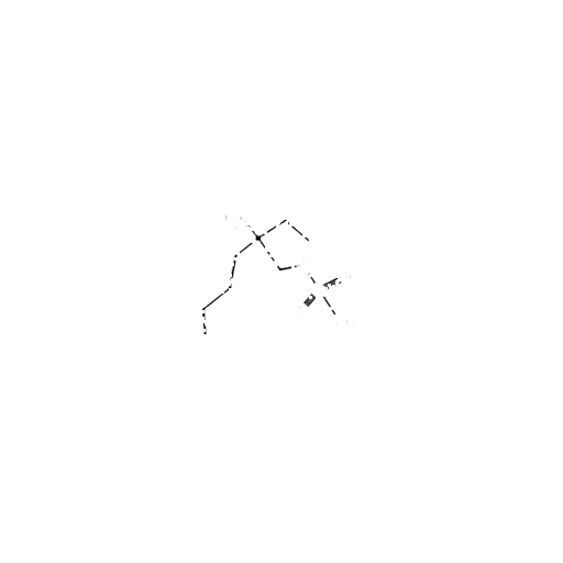 CCCCC(N)(CC)COS(=O)(=O)O